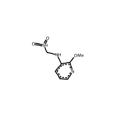 COc1ncccc1NC[SH](=O)=O